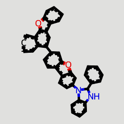 c1ccc(C2Nc3ccccc3N2c2ccc3c(c2)oc2cc(-c4cc5c6ccccc6oc5c5ccccc45)ccc23)cc1